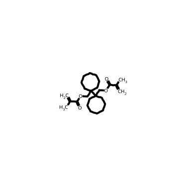 C=C(C)C(=O)OCC1(C2(COC(=O)C(=C)C)CCCCCCC2)CCCCCCC1